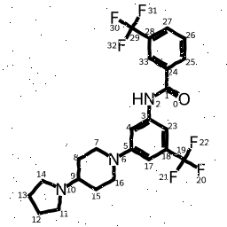 O=C(Nc1cc(N2CCC(N3CCCC3)CC2)cc(C(F)(F)F)c1)c1cccc(C(F)(F)F)c1